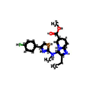 CCc1nc2ccc(C(=O)OC)cn2c1N(C)c1nc(-c2ccc(F)cc2)cs1